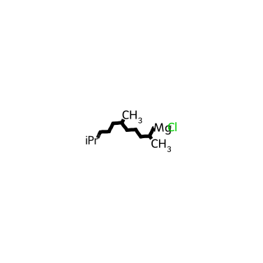 CC(C)CCCC(C)CCCC(C)[CH2][Mg][Cl]